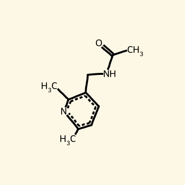 CC(=O)NCc1ccc(C)nc1C